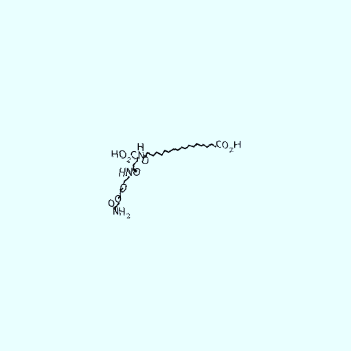 NC(=O)COCCOCCNC(=O)CC[C@H](NC(=O)CCCCCCCCCCCCCCCCCCC(=O)O)C(=O)O